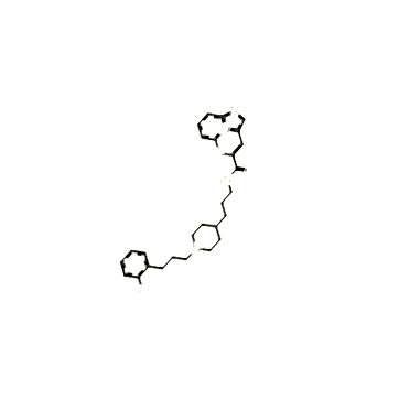 O=C(NCCCC1CCN(CCCc2ccccc2Cl)CC1)C1=Cc2cnc3cccc(n23)S1